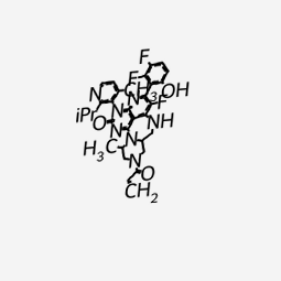 C=CC(=O)N1CC(C)N2c3nc(=O)n(-c4c(C)ccnc4C(C)C)c4nc(-c5c(O)ccc(F)c5F)c(F)c(c34)NCC2C1